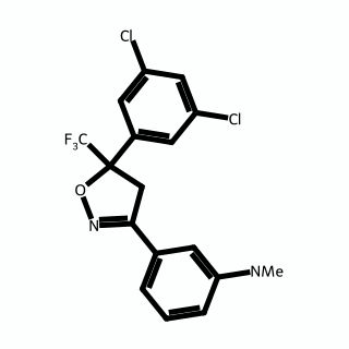 CNc1cccc(C2=NOC(c3cc(Cl)cc(Cl)c3)(C(F)(F)F)C2)c1